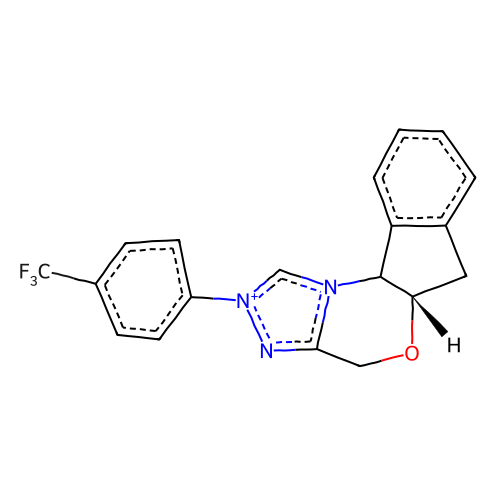 FC(F)(F)c1ccc(-[n+]2cn3c(n2)CO[C@H]2Cc4ccccc4C23)cc1